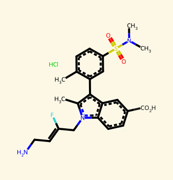 Cc1ccc(S(=O)(=O)N(C)C)cc1-c1c(C)n(CC(F)=CCN)c2ccc(C(=O)O)cc12.Cl